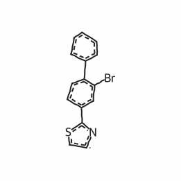 Brc1cc(-c2n[c]cs2)ccc1-c1ccccc1